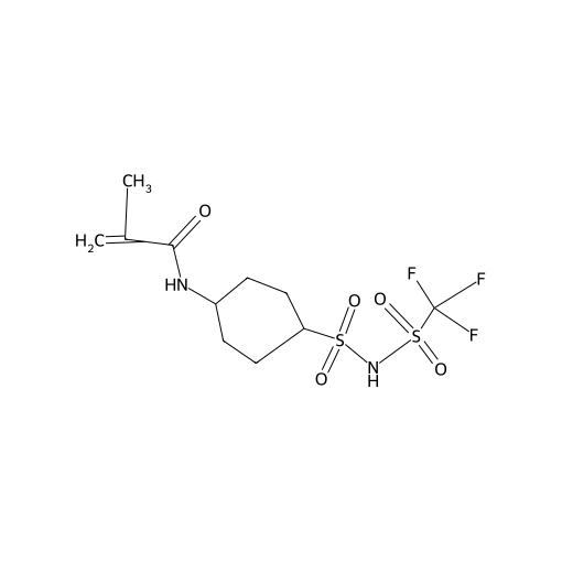 C=C(C)C(=O)NC1CCC(S(=O)(=O)NS(=O)(=O)C(F)(F)F)CC1